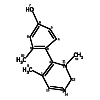 CC1=C(c2ccc(O)cc2C)N(C)CN=C1